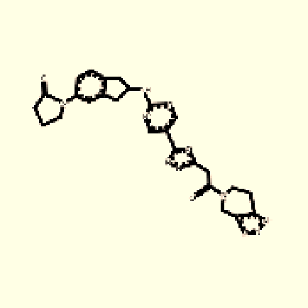 O=C(Cc1nnc(-c2cnc(NC3Cc4ccc(N5CCCC5=O)cc4C3)nc2)o1)N1CCc2[nH]nnc2C1